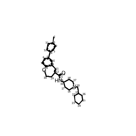 Cc1ccc(-c2ccc3c(c2)C=C(C(=O)NC2CCN(CC4CCCCC4)CC2)CCO3)cc1